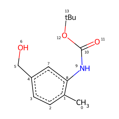 Cc1ccc(CO)cc1NC(=O)OC(C)(C)C